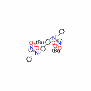 CC(C)(C)OC(=O)N1CCC[C@H]1C(=O)N(CCc1ccccc1)Cc1ccc(-c2ccc(CN(CCc3ccccc3)C(=O)[C@@H]3CCCN3C(=O)OC(C)(C)C)cc2)cc1